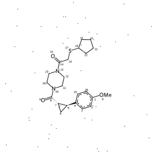 COc1ccc([C@H]2C[C@@H]2C(=O)N2CCN(C(=O)CSC3CCCC3)CC2)cc1